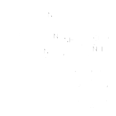 N[N+]12C=CN=CC1=C(C1=CC=C1)N=C2c1ccc(Oc2ccccc2)c(NC=O)c1